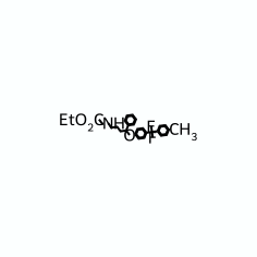 CCOC(=O)CNCCCC(Oc1ccc(C(F)(F)c2ccc(C)cc2)cc1)c1ccccc1